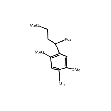 COCCC(c1cc(OC)c(C(F)(F)F)cc1OC)C(C)(C)C